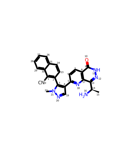 [C-]#[N+]c1c(-c2c(-c3ccc4c(=O)[nH]nc([C@@H](C)N)c4n3)cnn2C)ccc2ccccc12